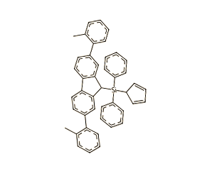 Cc1ccccc1-c1ccc2c(c1)C([Si](c1ccccc1)(c1ccccc1)C1C=CC=C1)c1cc(-c3ccccc3C)ccc1-2